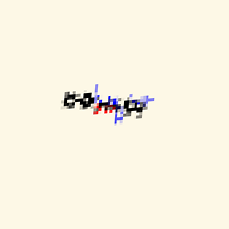 O=C(Nc1ccc(C2CC[CH]CC2)cc1)c1nnc(Nc2cnc3[nH]ccc3c2)o1